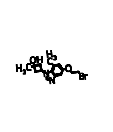 Cc1cc(OCCBr)cc2ncn(C3CC(C)(O)C3)c12